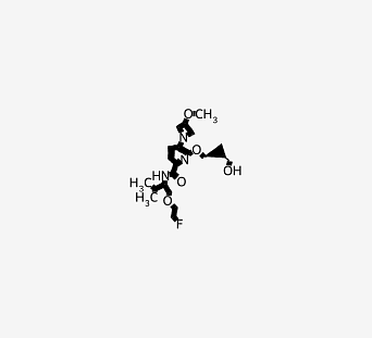 COC1CN(c2ccc(C(=O)NC(COCCF)C(C)C)nc2OC[C@@H]2C[C@@H]2CO)C1